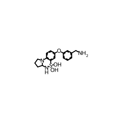 NCc1cccc(Oc2ccc3c(c2)S(O)(O)NC2CCCN32)c1